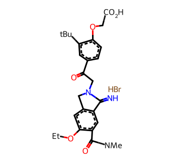 Br.CCOc1cc2c(cc1C(=O)NC)C(=N)N(CC(=O)c1ccc(OCC(=O)O)c(C(C)(C)C)c1)C2